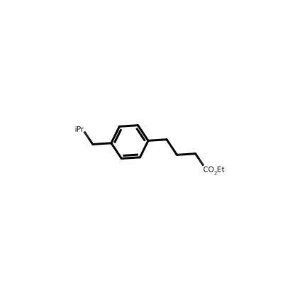 CCOC(=O)CCCc1ccc(CC(C)C)cc1